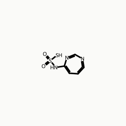 O=S(=O)(S)NC1=CC=C=NC=N1